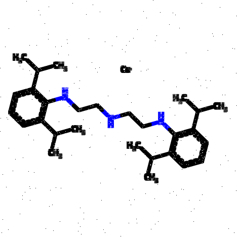 CC(C)c1cccc(C(C)C)c1NCCNCCNc1c(C(C)C)cccc1C(C)C.[Cu]